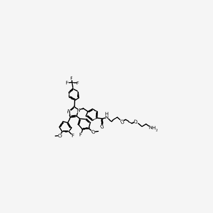 COc1ccc(-c2nc(-c3ccc(C(F)(F)F)cc3)n(Cc3ccc(C(=O)NCCOCCOCCN)cc3)c2-c2ccc(OC)c(F)c2)cc1F